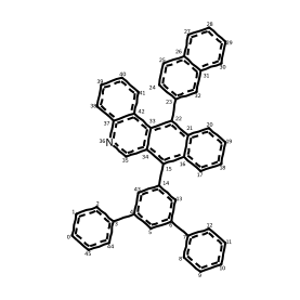 c1ccc(-c2cc(-c3ccccc3)cc(-c3c4ccccc4c(-c4ccc5ccccc5c4)c4c3cnc3ccccc34)c2)cc1